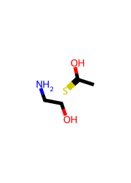 CC(O)=S.NCCO